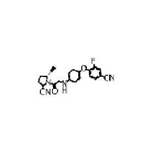 C#C[C@H]1CC[C@@H](C#N)N1C(=O)CNC1CCC(Oc2ccc(C#N)cc2F)CC1